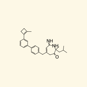 CC1=C(c2cccc(-c3ccc(CC4=CC(=N)NC(C)(CC(C)C)C(=O)C4)cc3)c2)CC1